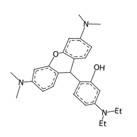 CCN(CC)c1ccc(C2c3ccc(N(C)C)cc3Oc3cc(N(C)C)ccc32)c(O)c1